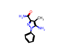 Cc1c(C(N)=O)nn(-c2ccccc2)c1N